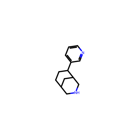 c1cncc(C2CCC3CNCC2C3)c1